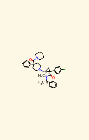 C[C@@H](c1ccccc1)N(C)C(=O)[C@@]1(c2ccc(F)cc2)C[C@H]1CN1CCC(C(=O)N2CCCCC2)(c2ccccc2)CC1